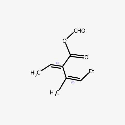 C/C=C(C(=O)OC=O)\C(C)=C/CC